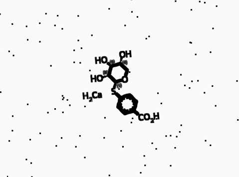 O=C(O)c1ccc(S[C@@H]2OC[C@@H](O)[C@H](O)[C@H]2O)cc1.[CaH2]